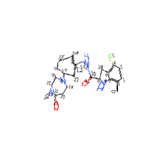 Cc1ccc(F)c2c1NC(C(=O)N[C@@H]1CCC[C@H](N3CCC(=O)N(C)CC3)C1)C2